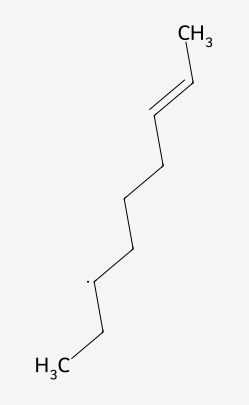 CC=CCCC[CH]CC